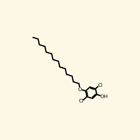 CCCCCCCCCCCCCCOc1cc(Cl)c(O)cc1Cl